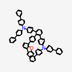 c1ccc(-c2ccc(N(c3ccc(-c4ccccc4)cc3)c3ccc(-c4cccc(-c5ccc(N(c6ccc(-c7ccccc7)cc6)c6ccc(-c7ccccc7)cc6)cc5)c4-c4ccc(-c5cccc6c5oc5ccccc56)cc4)cc3)cc2)cc1